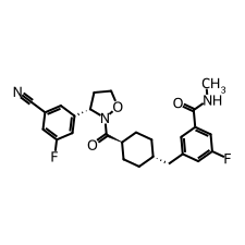 CNC(=O)c1cc(F)cc(C[C@H]2CC[C@H](C(=O)N3OCC[C@H]3c3cc(F)cc(C#N)c3)CC2)c1